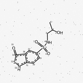 CC(O)CNS(=O)(=O)c1ccc2[nH]sc(=O)c2c1